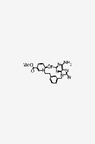 COC(=O)c1ccc(=O)n(CCc2cccc(Cn3c(Br)nc4c(N)nc(F)nc43)c2)c1